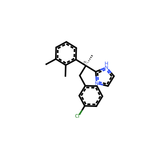 Cc1cccc([C@](C)(Cc2cccc(Cl)c2)c2ncc[nH]2)c1C